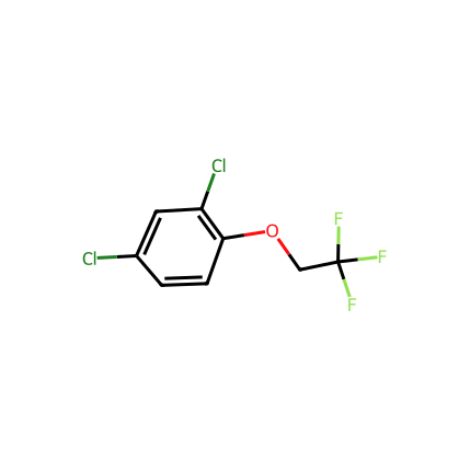 FC(F)(F)COc1ccc(Cl)cc1Cl